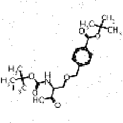 CC(C)(C)OC(=O)NC(COCc1ccc(C(=O)OC(C)(C)C)cc1)C(=O)O